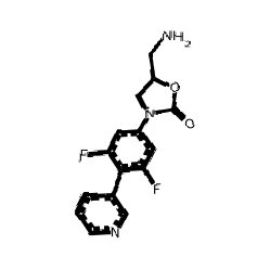 NCC1CN(c2cc(F)c(-c3cccnc3)c(F)c2)C(=O)O1